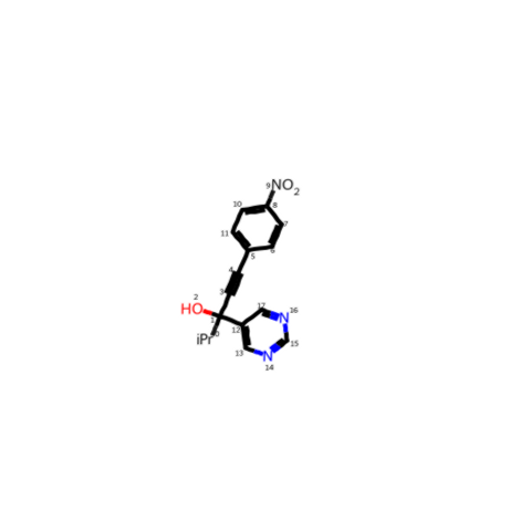 CC(C)C(O)(C#Cc1ccc([N+](=O)[O-])cc1)c1cncnc1